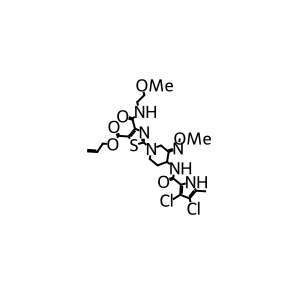 C=CCOC(=O)c1sc(N2CCC(NC(=O)c3[nH]c(C)c(Cl)c3Cl)C(=NOC)C2)nc1C(=O)NCCOC